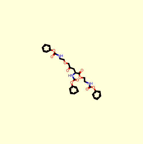 O=C(COCCNC(=O)Oc1ccccc1)CC(NC(=O)Oc1ccccc1)C(=O)OCCNC(=O)Oc1ccccc1